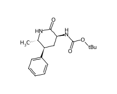 C[C@@H]1NC(=O)[C@@H](NC(=O)OC(C)(C)C)C[C@H]1c1ccccc1